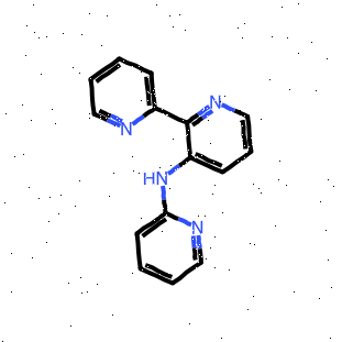 c1ccc(Nc2cccnc2-c2ccccn2)nc1